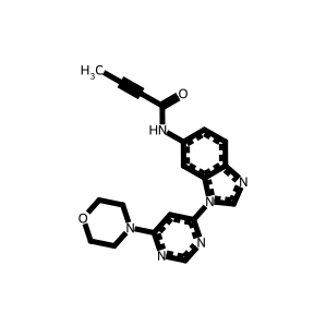 CC#CC(=O)Nc1ccc2ncn(-c3cc(N4CCOCC4)ncn3)c2c1